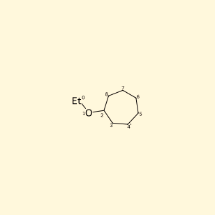 CCOC1C[CH]CCCC1